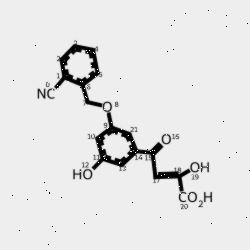 N#Cc1ccccc1COc1cc(O)cc(C(=O)C=C(O)C(=O)O)c1